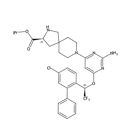 CC(C)OC(=O)[C@@H]1CC2(CCN(c3cc(O[C@H](c4ccc(Cl)cc4-c4ccccc4)C(F)(F)F)nc(N)n3)CC2)CN1